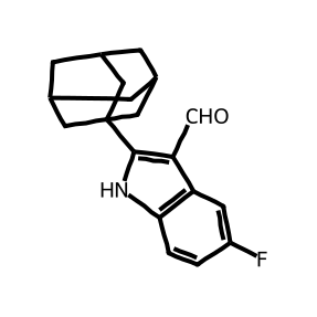 O=Cc1c(C23CC4CC(CC(C4)C2)C3)[nH]c2ccc(F)cc12